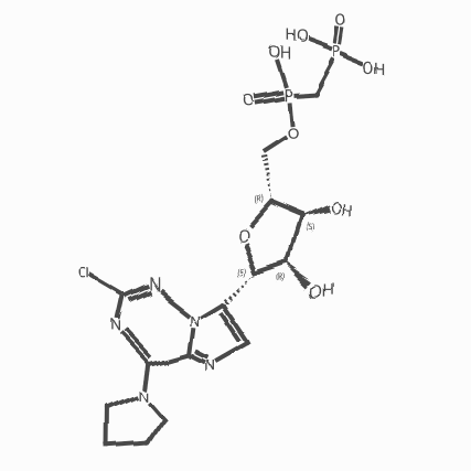 O=P(O)(O)CP(=O)(O)OC[C@H]1O[C@@H](c2cnc3c(N4CCCC4)nc(Cl)nn23)[C@H](O)[C@@H]1O